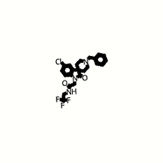 O=C(CN1C(=O)C2(CCN(Cc3ccccc3)CC2)c2cc(Cl)ccc21)NCC(F)(F)F